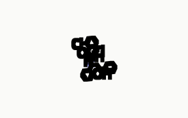 O=C(N/N=C(\CCc1ccccc1)c1ccccc1O)c1c(Cl)cccc1Cl